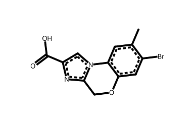 Cc1cc2c(cc1Br)OCc1nc(C(=O)O)cn1-2